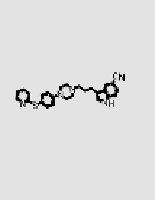 N#Cc1ccc2[nH]cc(CCCN3CCN(c4ccc(Sc5ccccn5)cc4)CC3)c2c1